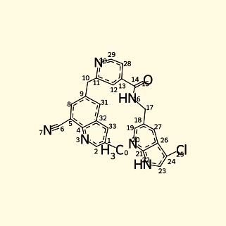 Cc1cnc2c(C#N)cc(Cc3cc(C(=O)NCc4cnc5[nH]cc(Cl)c5c4)ccn3)cc2c1